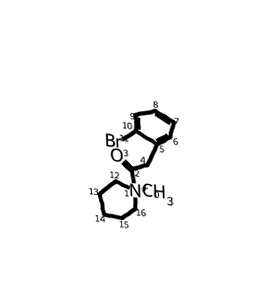 C[N+]1(C(=O)Cc2ccccc2Br)CCCCC1